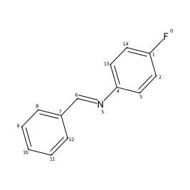 Fc1ccc(N=Cc2ccccc2)cc1